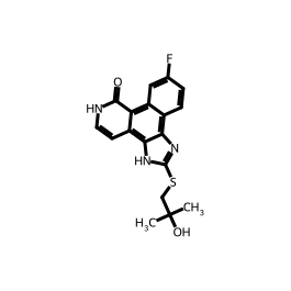 CC(C)(O)CSc1nc2c3ccc(F)cc3c3c(=O)[nH]ccc3c2[nH]1